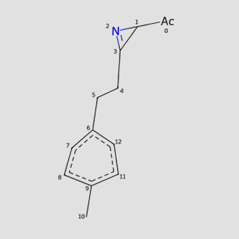 CC(=O)C1N=C1CCc1ccc(C)cc1